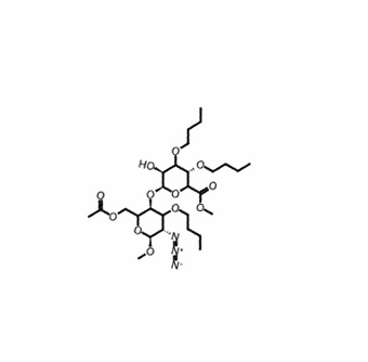 CCCCOC1[C@H](OCCCC)C(C(=O)OC)O[C@@H](O[C@@H]2C(COC(C)=O)O[C@H](OC)[C@@H](N=[N+]=[N-])C2OCCCC)[C@H]1O